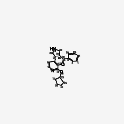 c1ccc([C@@H](Oc2cccnc2OC2CCCC2)[C@@H]2CCNC2)cc1